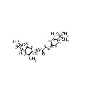 Cc1cc(NS(C)(=O)=O)c(F)cc1CNC(=O)COc1ccc(C(C)(C)C)cc1